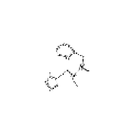 CN(Cc1ccccn1)[N+](C)Cc1cccs1